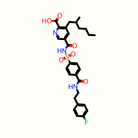 CCCCC(C)Cc1cc(C(=O)NS(=O)(=O)c2ccc(C(=O)NCCc3ccc(F)cc3)cc2)cnc1C(=O)O